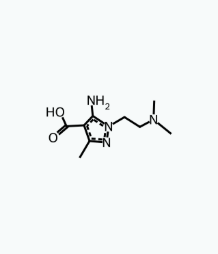 Cc1nn(CCN(C)C)c(N)c1C(=O)O